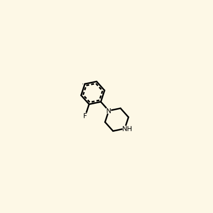 Fc1c[c]ccc1N1CCNCC1